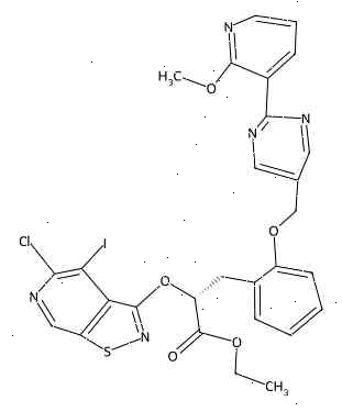 CCOC(=O)[C@@H](Cc1ccccc1OCc1cnc(-c2cccnc2OC)nc1)Oc1nsc2cnc(Cl)c(I)c12